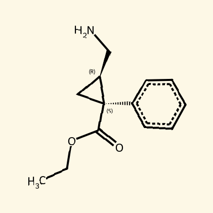 CCOC(=O)[C@@]1(c2ccccc2)C[C@H]1CN